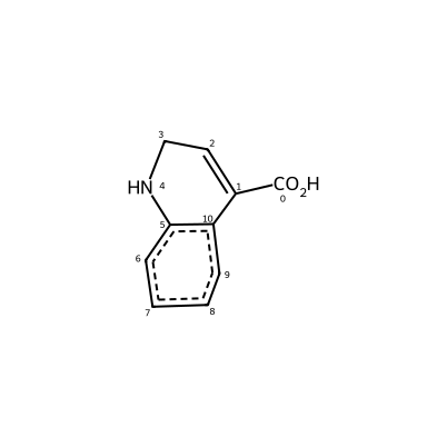 O=C(O)C1=CCNc2ccccc21